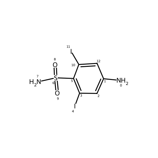 Nc1cc(I)c(S(N)(=O)=O)c(I)c1